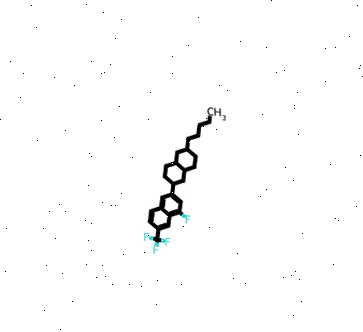 CCCCCC1CCC2CC(c3cc(F)c4cc(C(F)(F)F)ccc4c3)CCC2C1